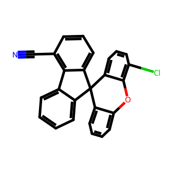 N#Cc1cccc2c1-c1ccccc1C21c2ccccc2Oc2c(Cl)cccc21